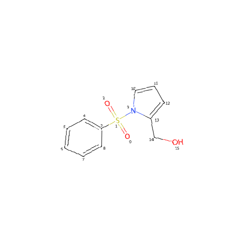 O=S(=O)(c1ccccc1)n1cccc1CO